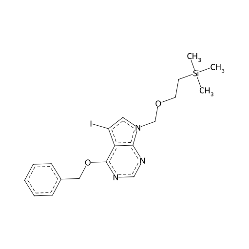 C[Si](C)(C)CCOCn1cc(I)c2c(OCc3ccccc3)ncnc21